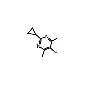 Cc1nc(C2CC2)nc(C)c1F